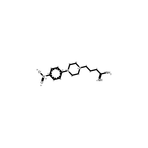 N=C(N)CCCN1CCN(c2ccc([N+](=O)[O-])cc2)CC1